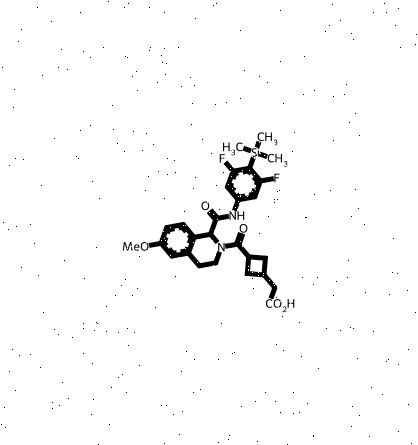 COc1ccc2c(c1)CCN(C(=O)C1CC(CC(=O)O)C1)C2C(=O)Nc1cc(F)c([Si](C)(C)C)c(F)c1